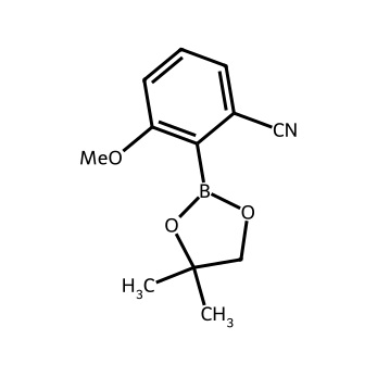 COc1cccc(C#N)c1B1OCC(C)(C)O1